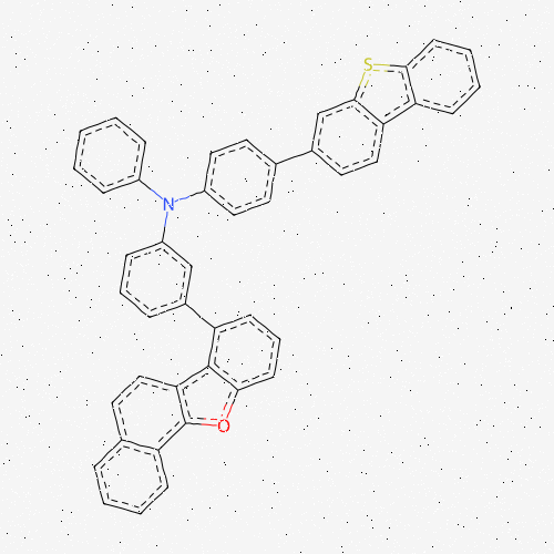 c1ccc(N(c2ccc(-c3ccc4c(c3)sc3ccccc34)cc2)c2cccc(-c3cccc4oc5c6ccccc6ccc5c34)c2)cc1